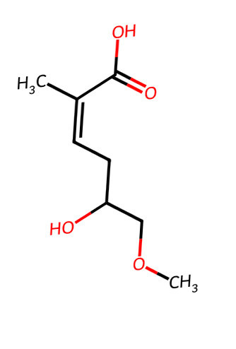 COCC(O)CC=C(C)C(=O)O